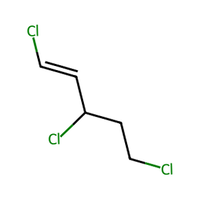 ClC=CC(Cl)CCCl